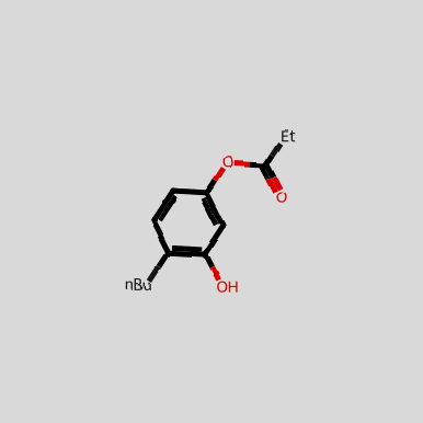 CCCCc1ccc(OC(=O)CC)cc1O